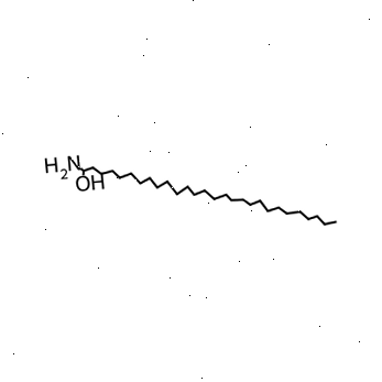 CCCCCCCCCCCCCCCCCCCCCCCCCCCC(N)O